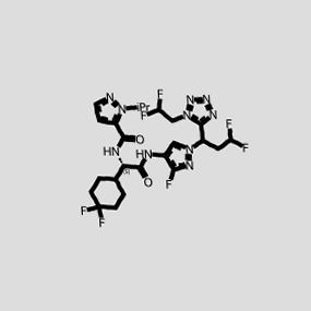 CC(C)n1nccc1C(=O)N[C@H](C(=O)Nc1cn(C(CC(F)F)c2nnnn2CC(F)F)nc1F)C1CCC(F)(F)CC1